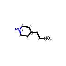 O=[N+]([O-])CCC1CCNCC1